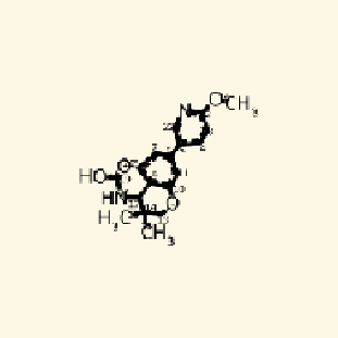 COc1ccc(-c2ccc3c(c2)OCC(C)(C)C3NC(=O)O)cn1